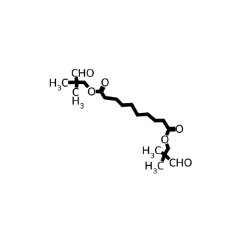 CC(C)(C=O)COC(=O)CCCCCCCCC(=O)OCC(C)(C)C=O